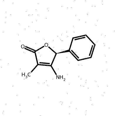 CC1=C(N)[C@H](c2ccccc2)OC1=O